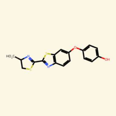 O=C(O)C1CSC(c2nc3ccc(Oc4ccc(O)cc4)cc3s2)=N1